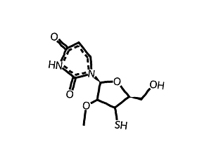 COC1C(S)[C@H](CO)O[C@@H]1n1ccc(=O)[nH]c1=O